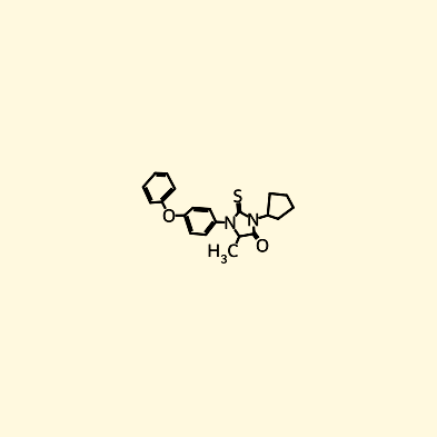 CC1C(=O)N(C2CCCC2)C(=S)N1c1ccc(Oc2ccccc2)cc1